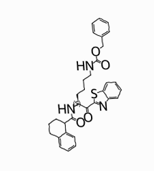 O=C(NCCCC[C@H](NC(=O)C1CCCc2ccccc21)C(=O)c1nc2ccccc2s1)OCc1ccccc1